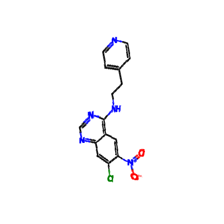 O=[N+]([O-])c1cc2c(NCCc3ccncc3)ncnc2cc1Cl